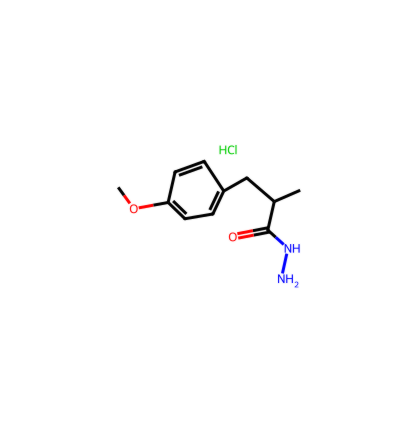 COc1ccc(CC(C)C(=O)NN)cc1.Cl